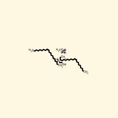 CCCCCCCC/C=C\CCCCCCCC(CC)[N+](C)(CCO)C(CC)CCCCCCC/C=C\CCCCCCCC.COS(=O)(=O)[O-]